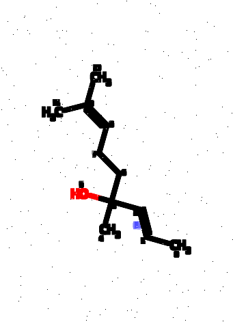 C/C=C/C(C)(O)CCC=C(C)C